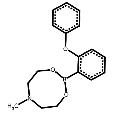 CN1CCOB(c2ccccc2Oc2ccccc2)OCC1